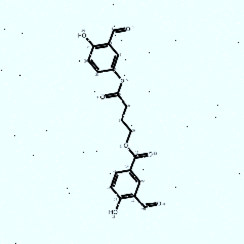 O=Cc1cc(OC(=O)CCCOC(=O)c2ccc(O)c(C=O)c2)ccc1O